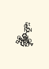 CCOc1cncc(-c2ccc(NC(=O)C3(c4ccnc(NS(=O)(=O)C5CC5)n4)CCC3)nc2)n1